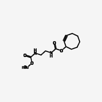 CCCCOC(=O)NCCNC(=O)OC1C#CCCCCC1